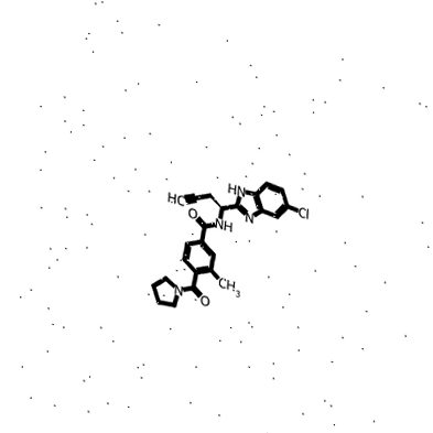 C#CC[C@H](NC(=O)c1ccc(C(=O)N2CCCC2)c(C)c1)c1nc2cc(Cl)ccc2[nH]1